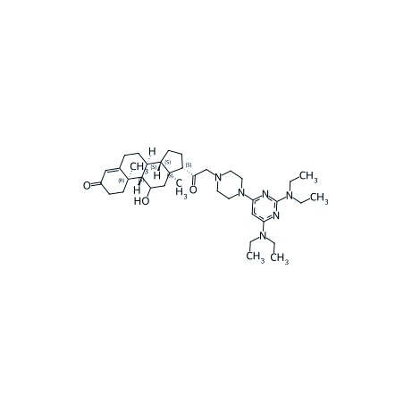 CCN(CC)c1cc(N2CCN(CC(=O)[C@H]3CC[C@H]4[C@@H]5CCC6=CC(=O)CC[C@]6(C)[C@H]5C(O)C[C@]34C)CC2)nc(N(CC)CC)n1